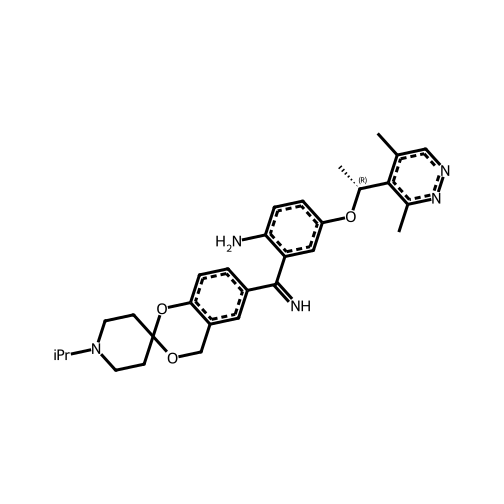 Cc1cnnc(C)c1[C@@H](C)Oc1ccc(N)c(C(=N)c2ccc3c(c2)COC2(CCN(C(C)C)CC2)O3)c1